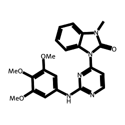 COc1cc(Nc2nccc(-n3c(=O)n(C)c4ccccc43)n2)cc(OC)c1OC